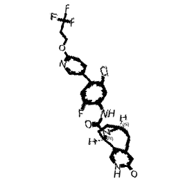 O=C(Nc1cc(Cl)c(-c2ccc(OCCC(F)(F)F)nc2)cc1F)N1[C@H]2CC[C@@H]1c1c[nH]c(=O)cc1C2